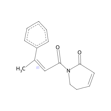 C/C(=C/C(=O)N1CCC=CC1=O)c1ccccc1